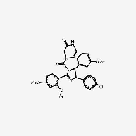 COC1=CCCC(C2C(c3ccc(Cl)cc3)N=C(c3ccc(OC)cc3OC(C)C)N2C(=O)N2C=CNC(=O)C2)=C1